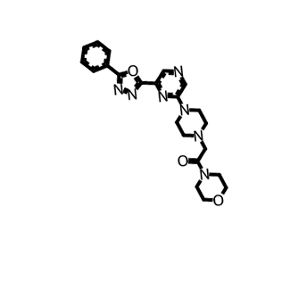 O=C(CN1CCN(c2cncc(-c3nnc(-c4ccccc4)o3)n2)CC1)N1CCOCC1